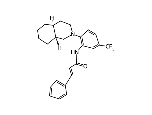 O=C(/C=C/c1ccccc1)Nc1cc(C(F)(F)F)ccc1N1CC[C@@H]2CCCC[C@H]2C1